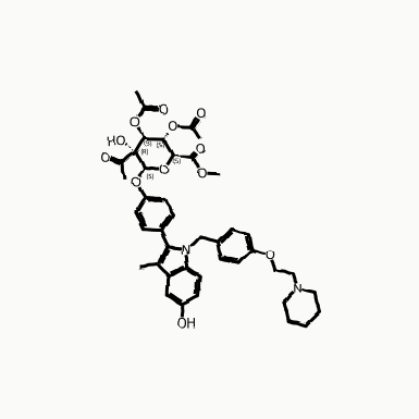 COC(=O)[C@H]1O[C@@H](Oc2ccc(-c3c(C)c4cc(O)ccc4n3Cc3ccc(OCCN4CCCCC4)cc3)cc2)[C@@](O)(C(C)=O)[C@@H](OC(C)=O)[C@@H]1OC(C)=O